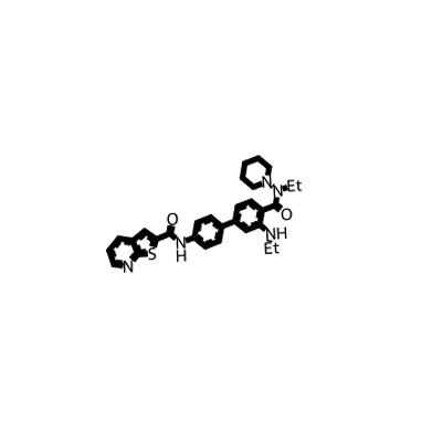 CCNc1cc(-c2ccc(NC(=O)c3cc4cccnc4s3)cc2)ccc1C(=O)N(CC)N1CCCCC1